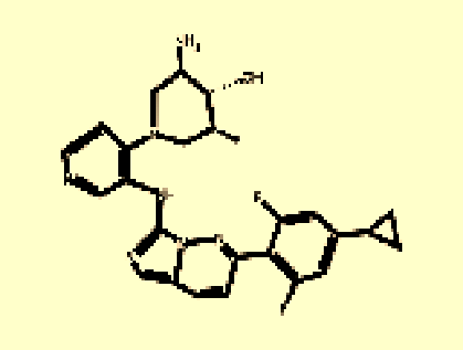 C[C@H]1CN(c2ccncc2Nc2ncc3ccc(-c4c(F)cc(C5CC5)cc4F)nn23)C[C@@H](N)[C@@H]1O